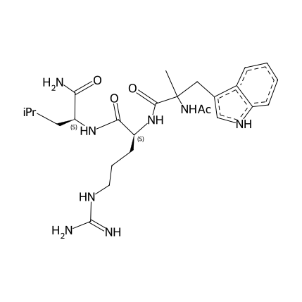 CC(=O)NC(C)(Cc1c[nH]c2ccccc12)C(=O)N[C@@H](CCCNC(=N)N)C(=O)N[C@@H](CC(C)C)C(N)=O